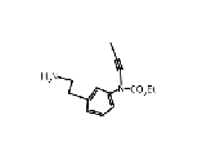 CC#CN(C(=O)OCC)c1cccc(CCN)c1